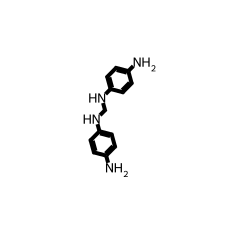 Nc1ccc(NCNc2ccc(N)cc2)cc1